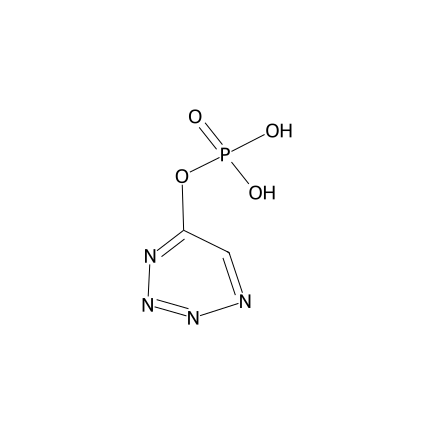 O=P(O)(O)Oc1cnnnn1